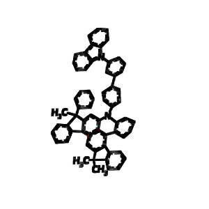 CC1(C)c2ccccc2-c2c(-c3ccccc3N(c3ccc(-c4cccc(-n5c6ccccc6c6ccccc65)c4)cc3)c3ccc4c(c3)C(C)(c3ccccc3)c3ccccc3-4)cccc21